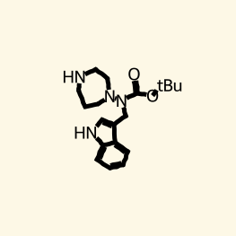 CC(C)(C)OC(=O)N(Cc1c[nH]c2ccccc12)N1CCCNCC1